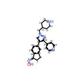 O/N=C1\CCc2cc(-c3cn(CC4CCNCC4)nc3-c3ccncc3)ccc21